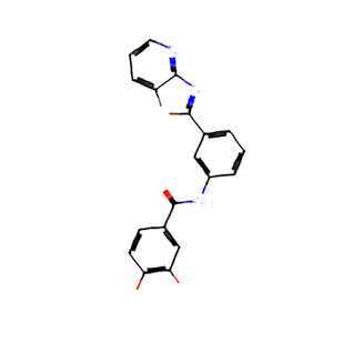 O=C(Nc1cccc(-c2nc3ncccc3s2)c1)c1ccc(O)c(O)c1